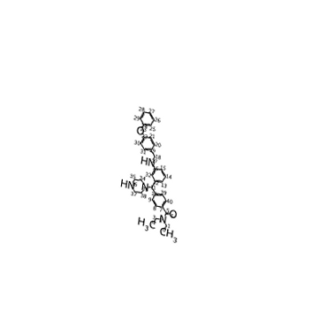 CCN(CC)C(=O)c1ccc([C@H](c2cccc(NCc3ccc(Oc4ccccc4)cc3)c2)N2CCNCC2)cc1